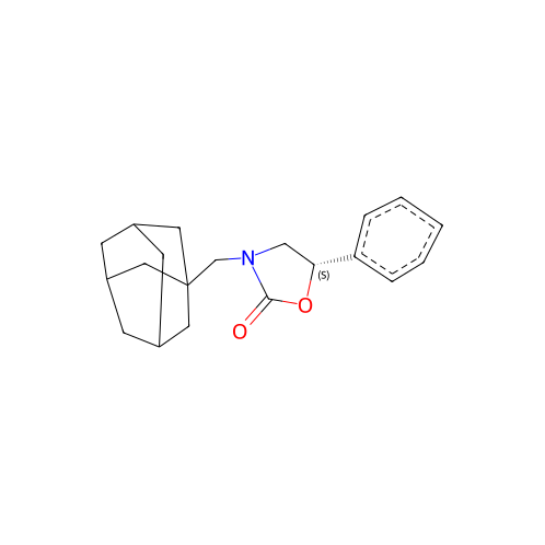 O=C1O[C@@H](c2ccccc2)CN1CC12CC3CC(CC(C3)C1)C2